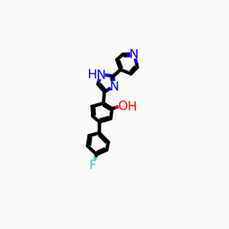 Oc1cc(-c2ccc(F)cc2)ccc1-c1c[nH]c(-c2ccncc2)n1